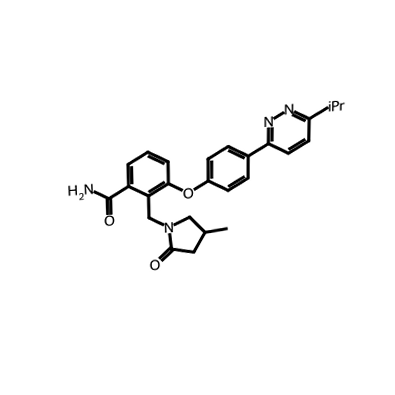 CC1CC(=O)N(Cc2c(Oc3ccc(-c4ccc(C(C)C)nn4)cc3)cccc2C(N)=O)C1